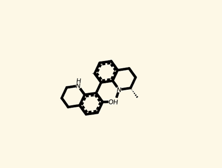 C[C@H]1CCc2cc[c]c(-c3c(O)ccc4c3NCCC4)c2N1C